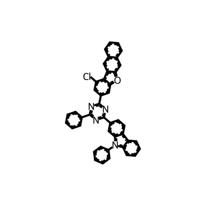 Clc1cc(-c2nc(-c3ccccc3)nc(-c3ccc4c5ccccc5n(-c5ccccc5)c4c3)n2)cc2oc3cc4ccccc4cc3c12